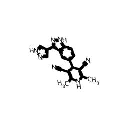 CC1=C(C#N)C(c2ccc3[nH]nc(-c4cn[nH]c4)c3c2)C(C#N)=C(C)N1